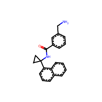 NCc1cccc(C(=O)NC2(c3cccc4ccccc34)CC2)c1